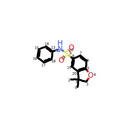 CC1(C)COc2ccc(S(=O)(=O)Nc3ccccc3)cc21